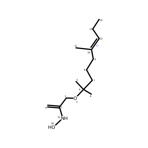 C=C(COC(C)(C)CCC/C(C)=C/CC)NO